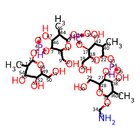 CC1[C@@H](O[PH](=O)O[C@@H]2C(CO)O[C@H](O[PH](=O)O[C@@H]3C(CO)O[C@H](O[PH](=O)O[C@@H]4C(CO)O[C@@H](OCN)C(C)[C@H]4O)C(C)[C@H]3O)C(C)[C@H]2O)OC(CO)[C@@H](O)[C@@H]1O